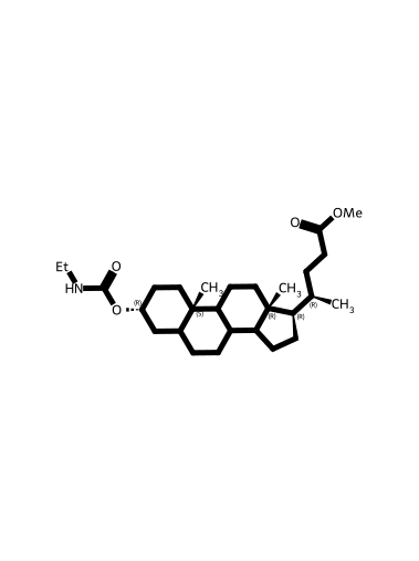 CCNC(=O)O[C@@H]1CC[C@@]2(C)C(CCC3C2CC[C@@]2(C)C3CC[C@@H]2[C@H](C)CCC(=O)OC)C1